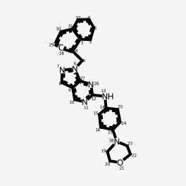 c1ccc2c(Cn3ncc4cnc(Nc5ccc(N6CCOCC6)cc5)nc43)cccc2c1